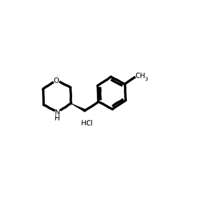 Cc1ccc(C[C@@H]2COCCN2)cc1.Cl